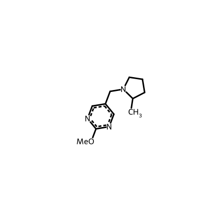 COc1ncc(CN2CCCC2C)cn1